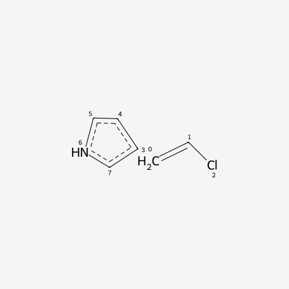 C=CCl.c1cc[nH]c1